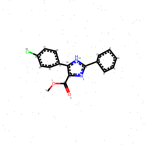 COC(=O)c1nc(-c2ccccc2)[nH]c1-c1ccc(Cl)cc1